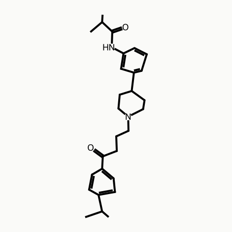 CC(C)C(=O)Nc1cccc(C2CCN(CCCC(=O)c3ccc(C(C)C)cc3)CC2)c1